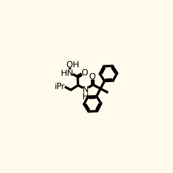 CC(C)CC(NC(=O)C(C)(c1ccccc1)c1ccccc1)C(=O)NO